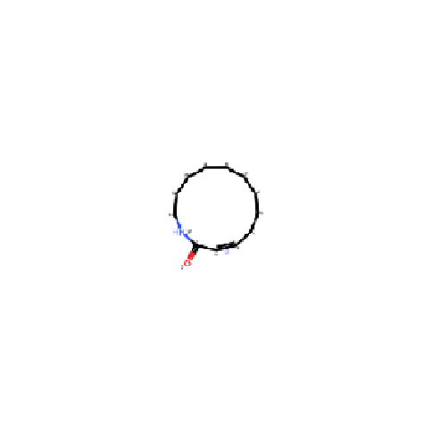 O=C1/C=C\CCCCCCCCCN1